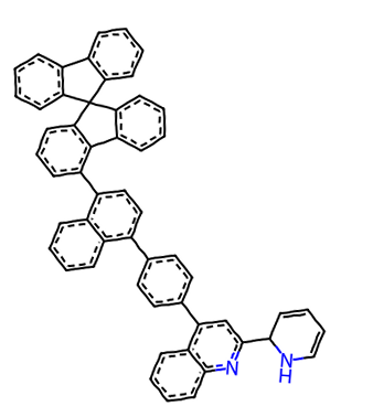 C1=CNC(c2cc(-c3ccc(-c4ccc(-c5cccc6c5-c5ccccc5C65c6ccccc6-c6ccccc65)c5ccccc45)cc3)c3ccccc3n2)C=C1